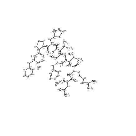 CC(C)C(NC(=O)C(CCCN=C(N)N)NC(=O)C(N)CC(N)=O)C(=O)NC(Cc1ccc(O)cc1)C(=O)NC(C(=O)NC(Cc1cnc[nH]1)C(=O)N1CCCC1C(=O)NC(Cc1ccccc1)C(=O)O)C(C)C